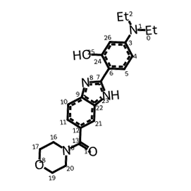 CCN(CC)c1ccc(-c2nc3ccc(C(=O)N4CCOCC4)cc3[nH]2)c(O)c1